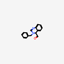 O=CC1c2ccccc2N=CN1Cc1ccccc1